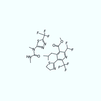 CNC(=O)N(C)c1nnc(C(F)(F)F)s1.COC(=O)c1c(C(F)F)nc(C(F)(F)F)c(C2=NCCS2)c1CC(C)C